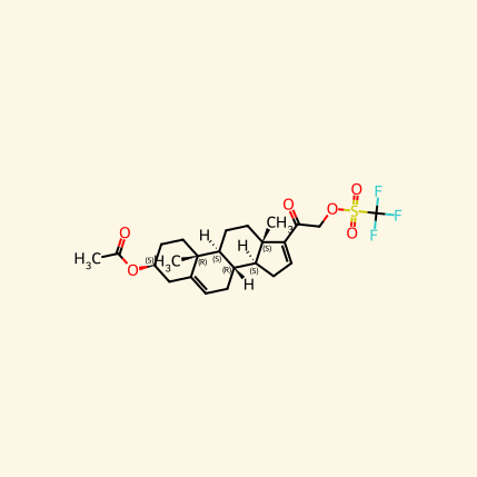 CC(=O)O[C@H]1CC[C@@]2(C)C(=CC[C@@H]3[C@@H]2CC[C@]2(C)C(C(=O)COS(=O)(=O)C(F)(F)F)=CC[C@@H]32)C1